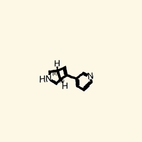 C1=C(c2cccnc2)[C@@H]2CNC[C@H]12